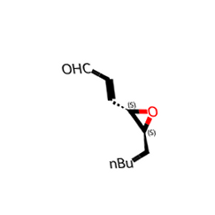 CCCCC[C@@H]1O[C@H]1C=CC=O